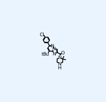 CC(C)(C)c1cc(-c2ccc(Cl)cc2)nn2cc(C(=O)N3CCNCC3(C)C)nc12